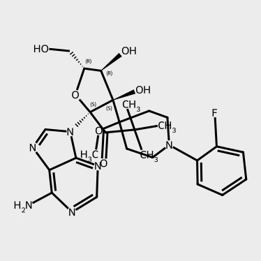 COC1([C@@]2(O)[C@H](O)[C@@H](CO)O[C@@]2(C(=O)C(C)(C)C)n2cnc3c(N)ncnc32)CCN(c2ccccc2F)CC1